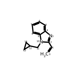 C=Cc1nc2ccccc2n1CC1CC1